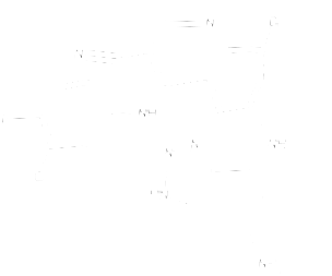 N#Cc1cnc2c(Br)cc(NC(CCN)c3c[nH]nn3)cc2c1Nc1ccc(F)c(Cl)c1